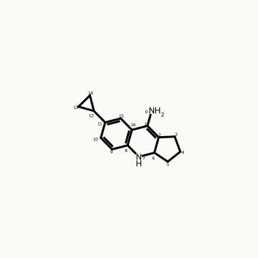 NC1=C2CCCC2Nc2ccc(C3CC3)cc21